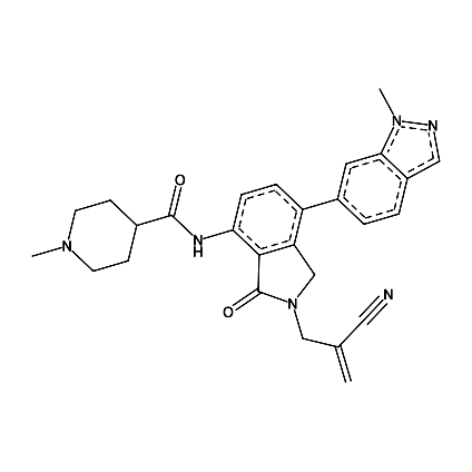 C=C(C#N)CN1Cc2c(-c3ccc4cnn(C)c4c3)ccc(NC(=O)C3CCN(C)CC3)c2C1=O